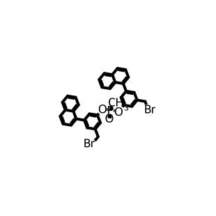 CP(=O)(Oc1cc(CBr)cc(-c2cccc3ccccc23)c1)Oc1cc(CBr)cc(-c2cccc3ccccc23)c1